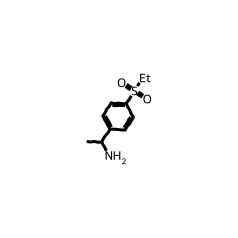 CCS(=O)(=O)c1ccc(C(C)N)cc1